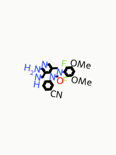 COc1cc(OC)c(F)c(N2Cc3cnc(N)c(C=N)c3N(c3cccc(C#N)c3)C2=O)c1F